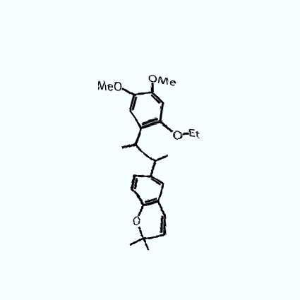 CCOc1cc(OC)c(OC)cc1C(C)C(C)c1ccc2c(c1)C=CC(C)(C)O2